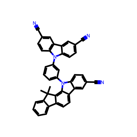 CC1(C)c2ccccc2-c2ccc3c4cc(C#N)ccc4n(-c4cccc(-n5c6ccc(C#N)cc6c6cc(C#N)ccc65)c4)c3c21